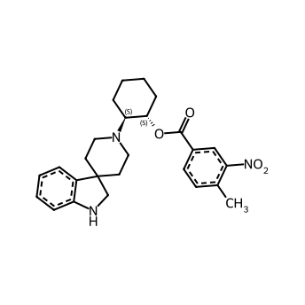 Cc1ccc(C(=O)O[C@H]2CCCC[C@@H]2N2CCC3(CC2)CNc2ccccc23)cc1[N+](=O)[O-]